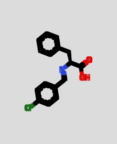 O=C(O)[C@H](Cc1ccccc1)N=Cc1ccc(Cl)cc1